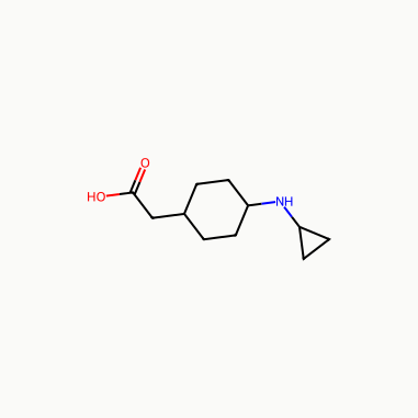 O=C(O)CC1CCC(NC2CC2)CC1